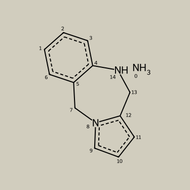 N.c1ccc2c(c1)Cn1cccc1CN2